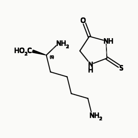 NCCCC[C@H](N)C(=O)O.O=C1CNC(=S)N1